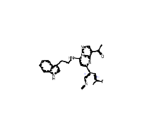 C=N/C=C(\C=C(/C)F)c1cc(NCCc2c[nH]c3ccccc23)n2ncc(C(C)=O)c2n1